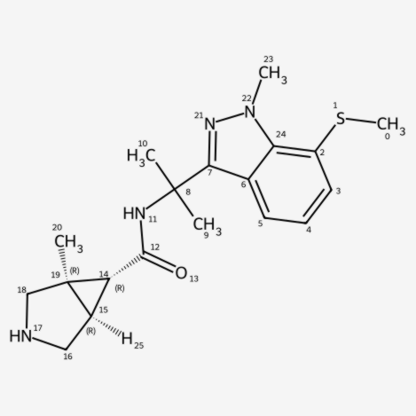 CSc1cccc2c(C(C)(C)NC(=O)[C@@H]3[C@H]4CNC[C@]43C)nn(C)c12